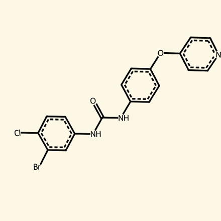 O=C(Nc1ccc(Oc2ccncc2)cc1)Nc1ccc(Cl)c(Br)c1